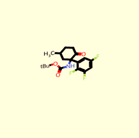 CC1CCC(=O)C(NC(=O)OC(C)(C)C)(c2cc(F)cc(F)c2F)C1